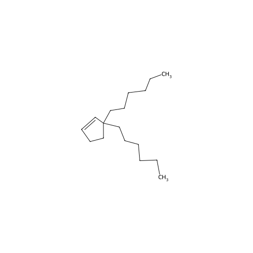 CCCCCCC1(CCCCCC)C=CCC1